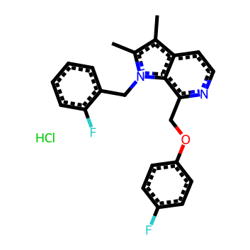 Cc1c(C)n(Cc2ccccc2F)c2c(COc3ccc(F)cc3)nccc12.Cl